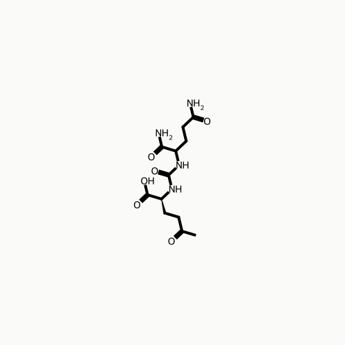 CC(=O)CC[C@H](NC(=O)NC(CCC(N)=O)C(N)=O)C(=O)O